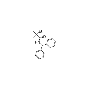 CCC(C)(C)C(=O)NC(c1ccccc1)c1ccccc1